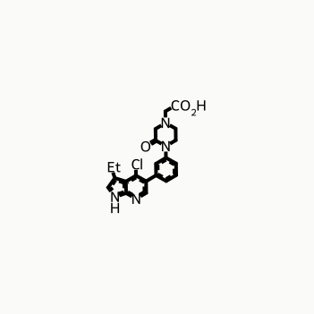 CCc1c[nH]c2ncc(-c3cccc(N4CCN(CC(=O)O)CC4=O)c3)c(Cl)c12